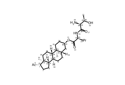 CC(=O)[C@H]1CC[C@H]2[C@@H]3CC[C@H]4C[C@H](OC(=O)[C@@H](NC(=O)[C@@H](N)[C@@H](C)O)C(C)C)CC[C@]4(C)[C@H]3CC[C@]12C